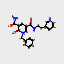 CNC(=O)c1cc(C(=O)NCCc2cccnc2)cn(Cc2ccccc2)c1=O